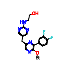 CCOc1ncc(Cc2cnc(NCCO)nc2)nc1-c1ccc(F)c(F)c1